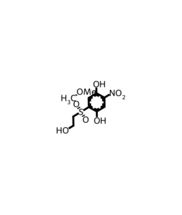 COC.O=[N+]([O-])c1cc(O)c(S(=O)(=O)CCO)cc1O